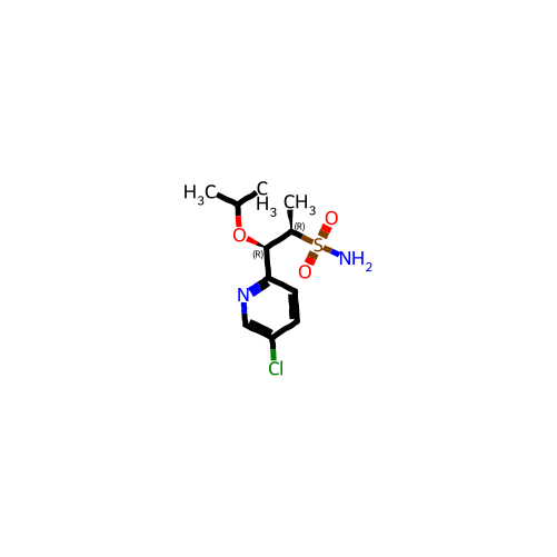 CC(C)O[C@H](c1ccc(Cl)cn1)[C@@H](C)S(N)(=O)=O